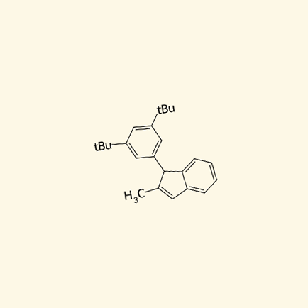 CC1=Cc2ccccc2C1c1cc(C(C)(C)C)cc(C(C)(C)C)c1